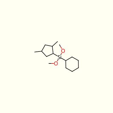 CO[Si](OC)(C1CCCCC1)C1CC(C)CC1C